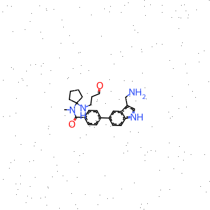 CN(C(=O)c1ccc(-c2ccc3[nH]cc(CN)c3c2)cc1)C1(NCCC=O)CCCC1